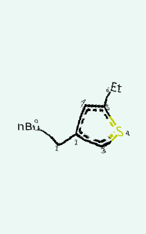 CCCCCc1csc(CC)c1